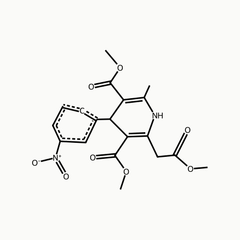 COC(=O)CC1=C(C(=O)OC)C(c2cccc([N+](=O)[O-])c2)C(C(=O)OC)=C(C)N1